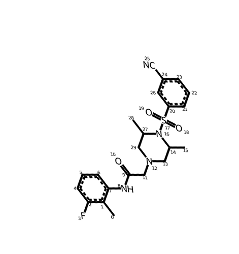 Cc1c(F)cccc1NC(=O)CN1CC(C)N(S(=O)(=O)c2cccc(C#N)c2)C(C)C1